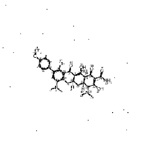 CN(C)c1cc(-c2ccc(OC(F)(F)F)cc2)c(O)c2c1C[C@@H]1C[C@H]3[C@H](N(C)C)C(O)=C(C(N)=O)C(=O)[C@]3(O)C(O)=C1C2=O